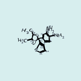 CC1OC(c2ccc(N)c(N)c2)(c2cccs2)OC1C